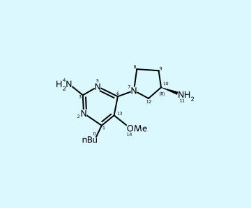 CCCCc1nc(N)nc(N2CC[C@@H](N)C2)c1OC